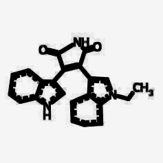 CCn1cc(C2=C(c3c[nH]c4ccccc34)C(=O)NC2=O)c2ccccc21